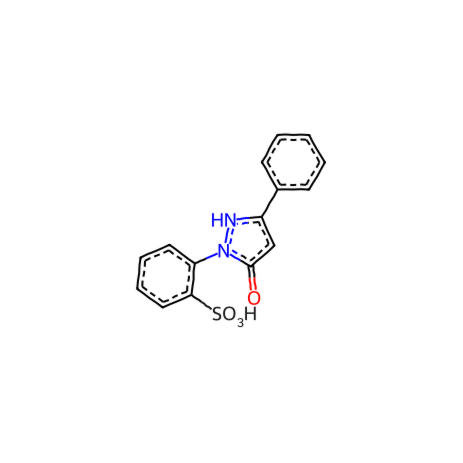 O=c1cc(-c2ccccc2)[nH]n1-c1ccccc1S(=O)(=O)O